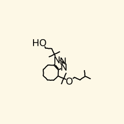 CC(C)CCOC(C)(C)C1CCCCCc2c1nnn2C(C)(C)CCO